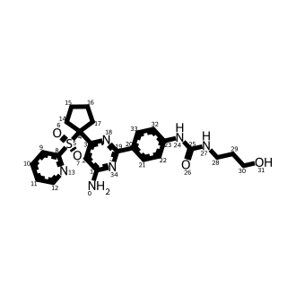 Nc1cc(C2(S(=O)(=O)c3ccccn3)CCCC2)nc(-c2ccc(NC(=O)NCCCO)cc2)n1